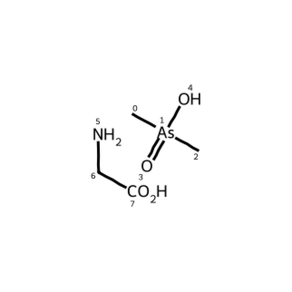 C[As](C)(=O)O.NCC(=O)O